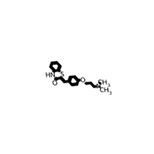 CN(C)CCCOc1ccc(/C=C2\Sc3ccccc3NC2=O)cc1